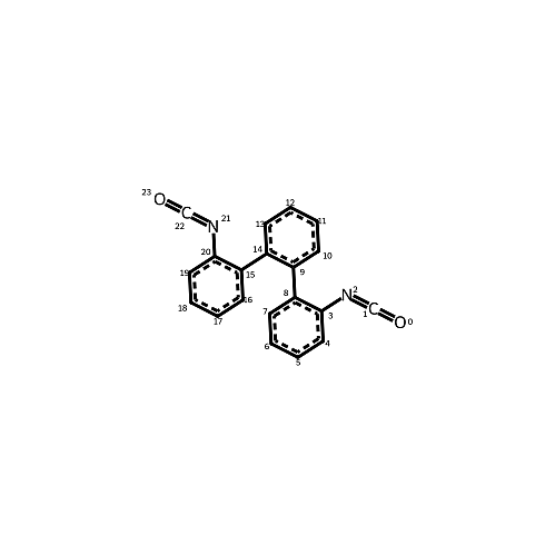 O=C=Nc1ccccc1-c1ccccc1-c1ccccc1N=C=O